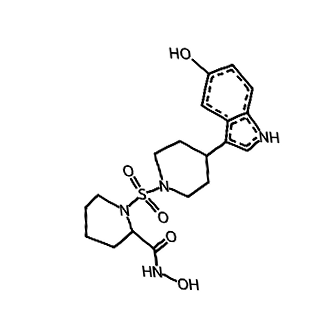 O=C(NO)C1CCCCN1S(=O)(=O)N1CCC(c2c[nH]c3ccc(O)cc23)CC1